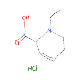 CCN1CCC=CC1C(=O)O.Cl